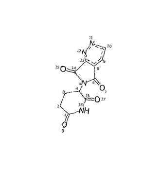 O=C1CCC(N2C(=O)c3ccnnc3C2=O)C(=O)N1